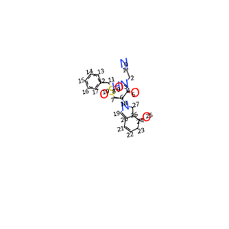 N#CCNC(=O)[C@H](CS(=O)(=O)Cc1ccccc1)N1C=C2C=CCC(=O)C2C1